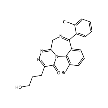 O=c1c(CCCO)nnc2n1-c1c(Br)cccc1C(c1ccccc1Cl)=NC2